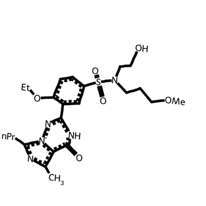 CCCc1nc(C)c2c(=O)[nH]c(-c3cc(S(=O)(=O)N(CCO)CCCOC)ccc3OCC)nn12